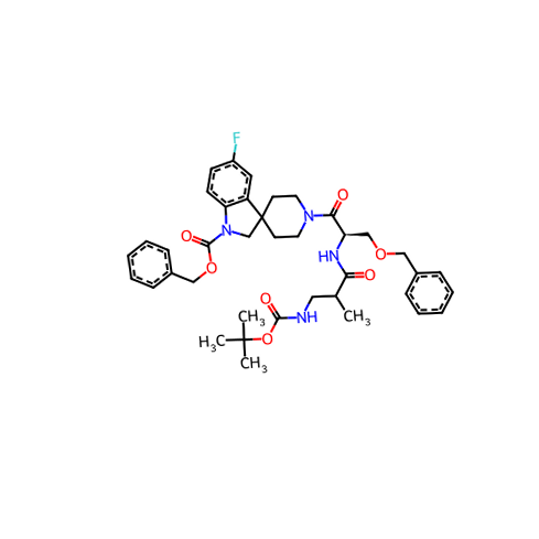 CC(CNC(=O)OC(C)(C)C)C(=O)N[C@H](COCc1ccccc1)C(=O)N1CCC2(CC1)CN(C(=O)OCc1ccccc1)c1ccc(F)cc12